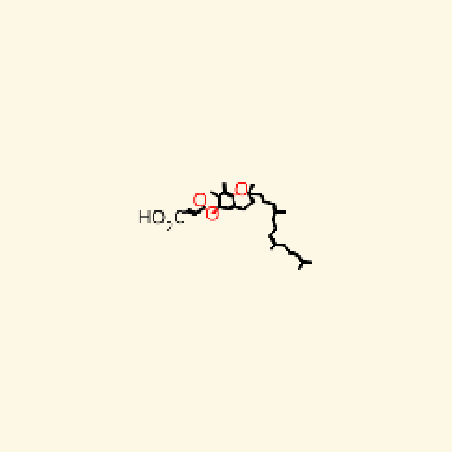 CC(C)=CCCC(C)=CCCC(C)=CCCC1(C)CCc2cc(OC(=O)C=CC(=O)O)c(C)c(C)c2O1